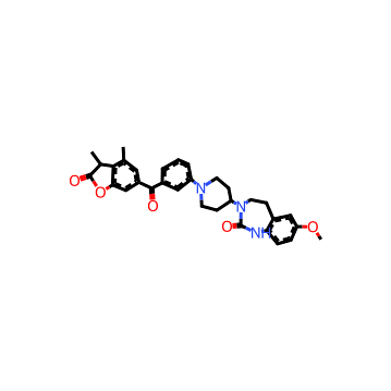 COc1ccc2c(c1)CCN(C1CCN(c3cccc(C(=O)c4cc(C)c5c(c4)OC(=O)C5C)c3)CC1)C(=O)N2